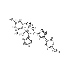 Cc1ccc(-c2cc(COC(C)C(O)(Cn3cncn3)c3ccc(F)cc3F)on2)cc1